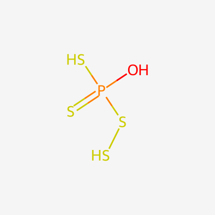 OP(=S)(S)SS